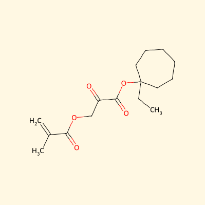 C=C(C)C(=O)OCC(=O)C(=O)OC1(CC)CCCCCC1